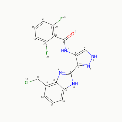 O=C(Nc1c[nH]nc1-c1nc2c(CCl)cccc2[nH]1)c1c(F)cccc1F